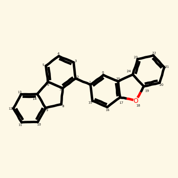 [c]1c(-c2cccc3c2Cc2ccccc2-3)ccc2oc3ccccc3c12